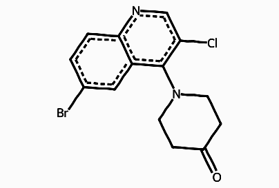 O=C1CCN(c2c(Cl)cnc3ccc(Br)cc23)CC1